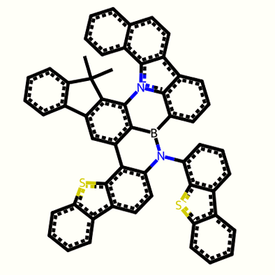 CC1(C)c2ccccc2-c2cc3c4c(c21)-n1c2c(cccc2c2ccc5ccccc5c21)B4N(c1cccc2c1sc1ccccc12)c1ccc2c(sc4ccccc42)c1-3